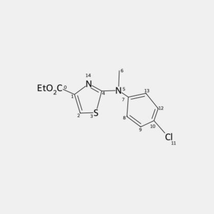 CCOC(=O)c1csc(N(C)c2ccc(Cl)cc2)n1